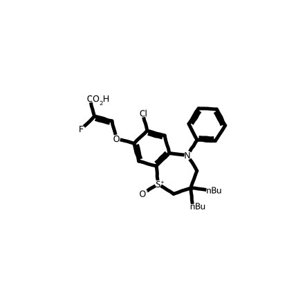 CCCCC1(CCCC)CN(c2ccccc2)c2cc(Cl)c(O/C=C(\F)C(=O)O)cc2[S+]([O-])C1